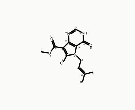 COC(=O)c1c(Cl)n(CC=C(C)C)c2c(=O)[nH]cnc12